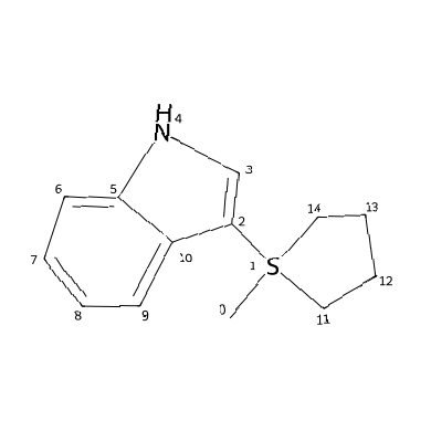 CS1(c2c[nH]c3ccccc23)CCCC1